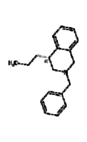 CCC[C@H]1CN(Cc2ccccc2)Cc2ccccc21